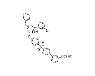 CCOC(=O)c1cccc(-c2ccc(S(=O)(=O)c3ccc(OCCN(Cc4ccccc4)C[C@H](O)c4cccc(Cl)c4)cc3)cc2)c1